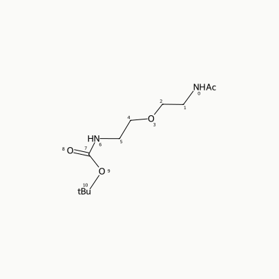 CC(=O)NCCOCCNC(=O)OC(C)(C)C